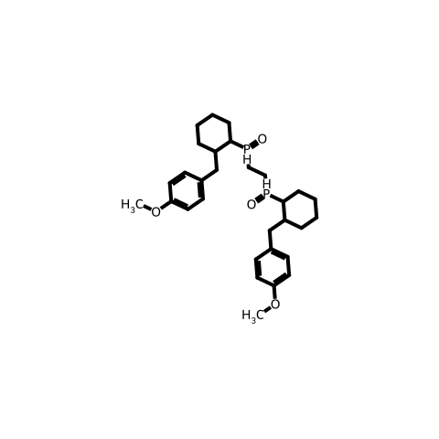 COc1ccc(CC2CCCCC2[PH](=O)CC[PH](=O)C2CCCCC2Cc2ccc(OC)cc2)cc1